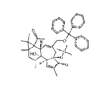 CC(=O)C12[C@@H]3C=C(COC(c4ccccc4)(c4ccccc4)c4ccccc4)C[C@]4(O[Si](C)(C)C)C(=O)C(C)=C[C@H]4[C@@]3(O)[C@H](C)CC1(C)C2(C)C